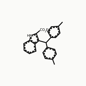 CCOC(=O)c1[nH]c2ccccc2c1C(c1ccc(C)cc1)c1ccc(C)cc1